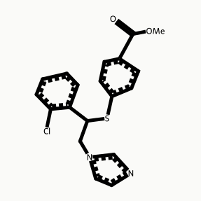 COC(=O)c1ccc(SC(Cn2ccnc2)c2ccccc2Cl)cc1